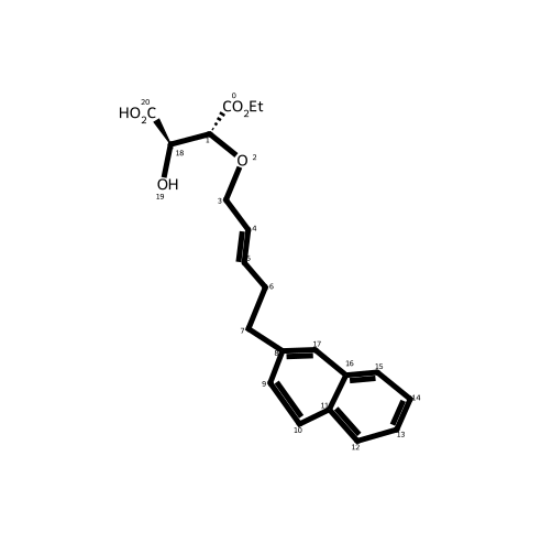 CCOC(=O)[C@H](OCC=CCCc1ccc2ccccc2c1)[C@@H](O)C(=O)O